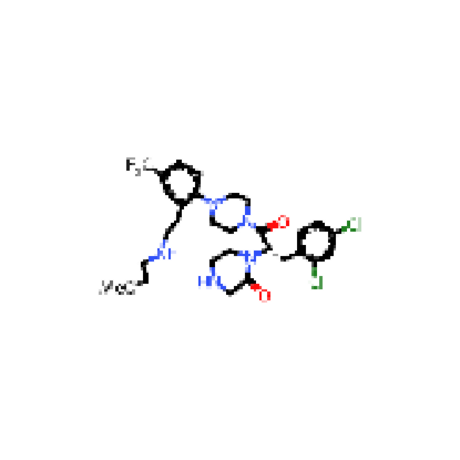 COCCNCCc1cc(C(F)(F)F)ccc1N1CCN(C(=O)[C@H](Cc2ccc(Cl)cc2Cl)N2CCNCC2=O)CC1